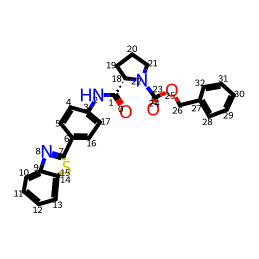 O=C(Nc1ccc(-c2nc3ccccc3s2)cc1)[C@@H]1CCCN1C(=O)OCc1ccccc1